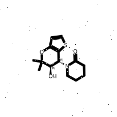 CC1(C)Oc2ccsc2[C@H](N2CCCCC2=O)[C@H]1O